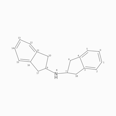 c1ccc2c(c1)CC(NC1Cc3ccccc3C1)C2